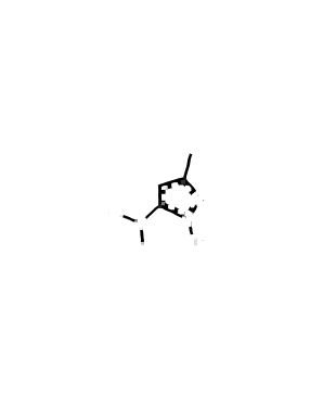 Cc1cc(B(O)O)n(C(C)C)n1